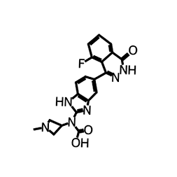 CN1CC(N(C(=O)O)c2nc3cc(-c4n[nH]c(=O)c5cccc(F)c45)ccc3[nH]2)C1